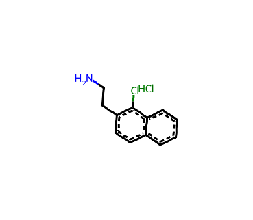 Cl.NCCc1ccc2ccccc2c1Cl